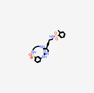 Cc1ccccc1S(=O)(=O)NCCC#Cc1cnc2nc1NCCCNS(=O)(=O)c1cccc(c1)N2